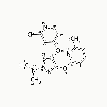 Cc1cccc(Oc2nc(N(C)C)sc2Oc2ccnc(Cl)c2)n1